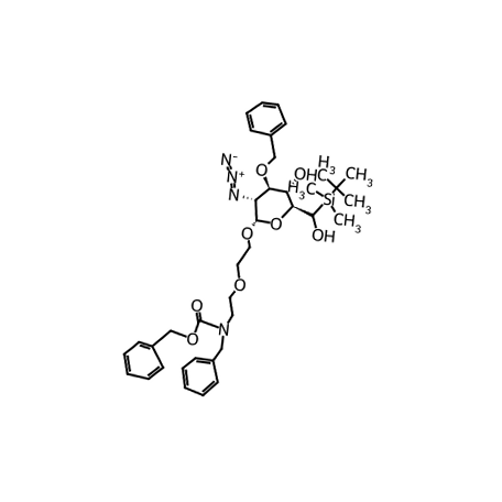 CC(C)(C)[Si](C)(C)C(O)[C@H]1O[C@H](OCCOCCN(Cc2ccccc2)C(=O)OCc2ccccc2)[C@H](N=[N+]=[N-])[C@@H](OCc2ccccc2)[C@@H]1O